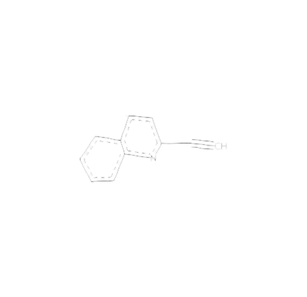 C#Cc1c[c]c2ccccc2n1